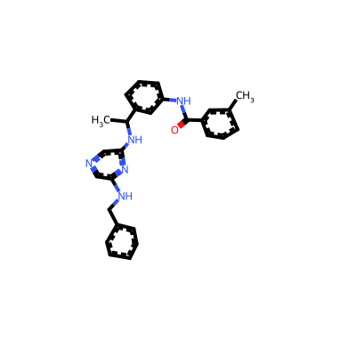 Cc1cccc(C(=O)Nc2cccc(C(C)Nc3cncc(NCc4ccccc4)n3)c2)c1